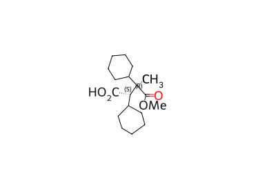 COC(=O)[C@](C)(C1CCCCC1)[C@@H](C(=O)O)C1CCCCC1